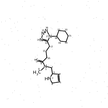 CN(CC1C=CCN1)C(=S)CCCc1nnnn1C1CCCCC1